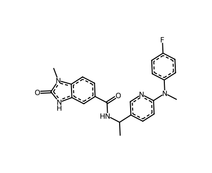 CC(NC(=O)c1ccc2c(c1)[nH]c(=O)n2C)c1ccc(N(C)c2ccc(F)cc2)nc1